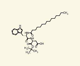 CCCCCCCCCCCCCCC(=O)N[C@@H](Cc1c[nH]c2ccccc12)C(=O)N[C@@H](CC(=O)O)C(=O)OC(C)(C)C